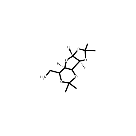 CC1(C)OC(CN)[C@H]2O[C@@H]3OC(C)(C)O[C@H]3C2O1